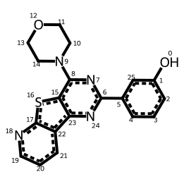 Oc1cccc(-c2nc(N3CCOCC3)c3sc4ncccc4c3n2)c1